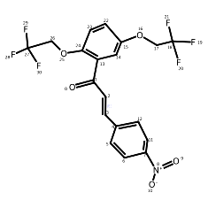 O=C(/C=C/c1ccc([N+](=O)[O-])cc1)c1cc(OCC(F)(F)F)ccc1OCC(F)(F)F